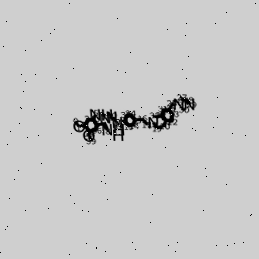 COc1cc(N)c(C(=N)/N=N\Nc2ccc(CCN3CCc4ccc(Cn5ccnc5)cc4C3)cc2)cc1OC